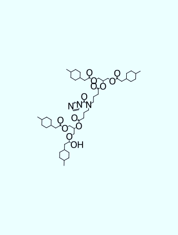 CC1CCC(CC(=O)OCC(COC(=O)CC2CCC(C)CC2)OC(=O)CCCN(CCCC(=O)OC(COC(=O)CC2CCC(C)CC2)COC(O)CC2CCC(C)CC2)C(=O)n2ccnc2)CC1